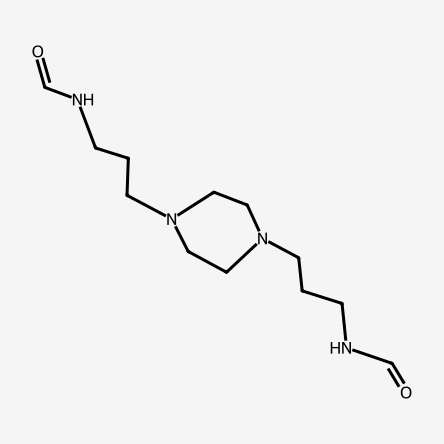 O=CNCCCN1CCN(CCCNC=O)CC1